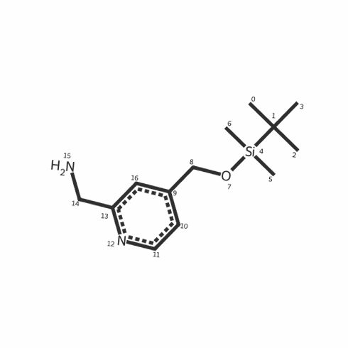 CC(C)(C)[Si](C)(C)OCc1ccnc(CN)c1